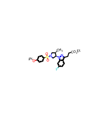 CCOC(=O)CCc1nn([C@H]2CN(S(=O)(=O)c3ccc(OC(C)C)cc3)C[C@H]2C)c2cc(F)ccc12